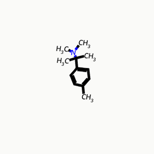 Cc1ccc(C(C)(C)N(C)C)cc1